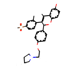 CC1=C(c2ccc(S(C)(=O)=O)cc2C)C(c2ccc(OC[C@H](C)N3CC[C@@H](C)C3)cc2)Oc2ccc(O)cc21